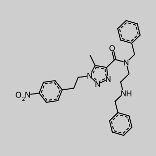 Cc1c(C(=O)N(CCNCc2ccccc2)Cc2ccccc2)nnn1CCc1ccc([N+](=O)[O-])cc1